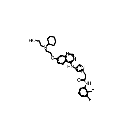 O=C(Cn1cc(Nc2ncnc3cc(OCCN(CCO)C4CCCCC4)ccc23)cn1)Nc1cccc(F)c1F